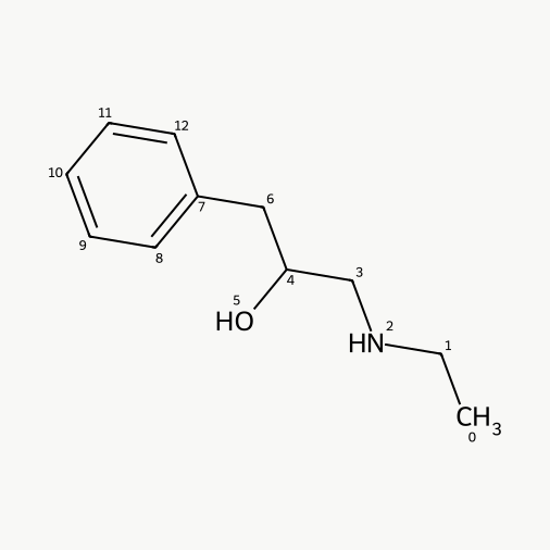 CCNCC(O)Cc1ccccc1